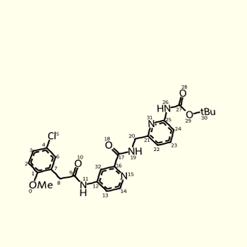 COc1ccc(Cl)cc1CC(=O)Nc1ccnc(C(=O)NCc2cccc(NC(=O)OC(C)(C)C)n2)c1